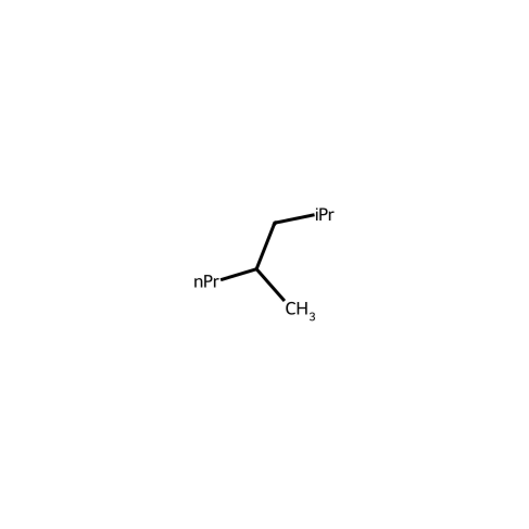 [CH2]CCC(C)CC([CH2])C